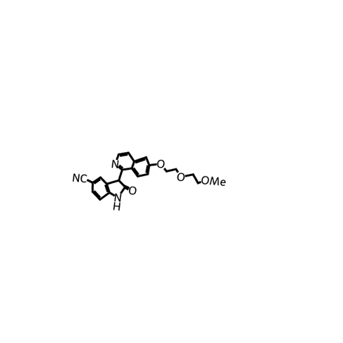 COCCOCCOc1ccc2c(C3C(=O)Nc4ccc(C#N)cc43)nccc2c1